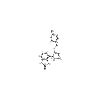 Fc1ccc(CCn2cncc2-c2cccc3c2CNC3)cc1